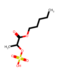 CCCCCOC(=O)C(C)OS(=O)(=O)O